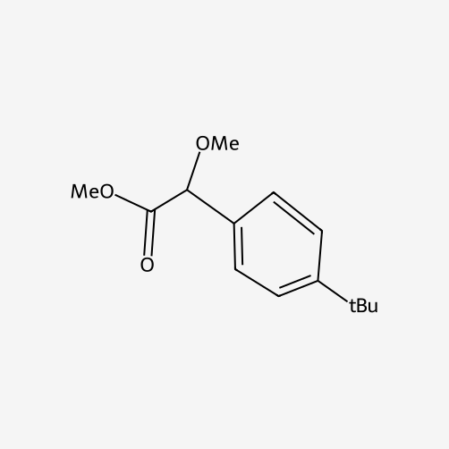 COC(=O)C(OC)c1ccc(C(C)(C)C)cc1